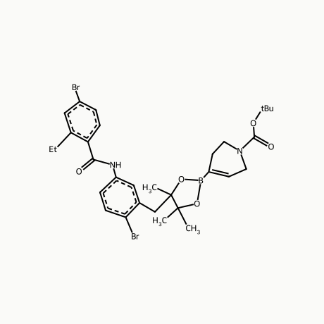 CCc1cc(Br)ccc1C(=O)Nc1ccc(Br)c(CC2(C)OB(C3=CCN(C(=O)OC(C)(C)C)CC3)OC2(C)C)c1